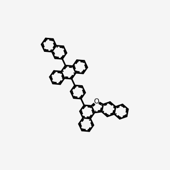 c1ccc2cc(-c3c4ccccc4c(-c4ccc(-c5cc6ccccc6c6c5oc5cc7ccccc7cc56)cc4)c4ccccc34)ccc2c1